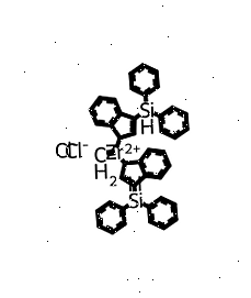 [CH2]=[Zr+2]([CH]1C=C([SiH](c2ccccc2)c2ccccc2)c2ccccc21)[CH]1C=C([SiH](c2ccccc2)c2ccccc2)c2ccccc21.[Cl-].[Cl-]